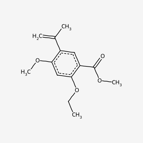 C=C(C)c1cc(C(=O)OC)c(OCC)cc1OC